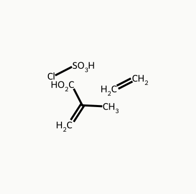 C=C.C=C(C)C(=O)O.O=S(=O)(O)Cl